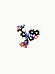 Cc1noc(C)c1-c1ccc2c(c1)nc(C1CCC(=O)N1c1cccc3ccccc13)n2C1CCN(S(C)(=O)=O)C1